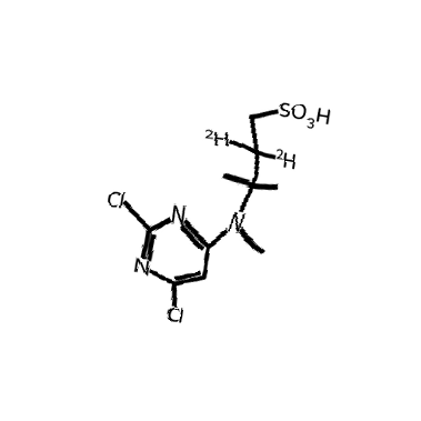 [2H]C([2H])(CS(=O)(=O)O)C(C)(C)N(C)c1cc(Cl)nc(Cl)n1